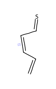 C=C/C=C\C=S